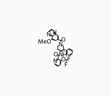 COc1cc(C(=O)N2CC[C@@H](NC(=O)c3ncccc3OC(F)F)[C@@H](c3ccccc3)C2)cc2nccnc12